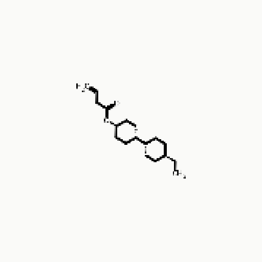 C=CCC(=O)O[C@H]1CC[C@H]([C@H]2CC[C@H](CC)CC2)CC1